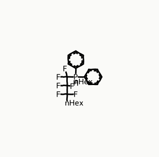 CCCCCCC(F)(F)C(F)(F)C(F)(F)[PH](CCCCCC)(c1ccccc1)c1ccccc1